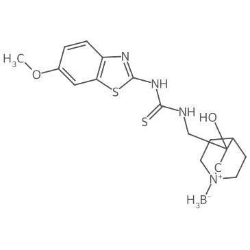 [BH3-][N+]12CCC(CC1)C(O)(CNC(=S)Nc1nc3ccc(OC)cc3s1)C2